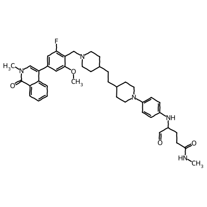 CNC(=O)CCC(C=O)Nc1ccc(N2CCC(CCC3CCN(Cc4c(F)cc(-c5cn(C)c(=O)c6ccccc56)cc4OC)CC3)CC2)cc1